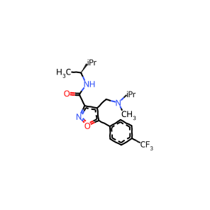 CC(C)[C@H](C)NC(=O)c1noc(-c2ccc(C(F)(F)F)cc2)c1CN(C)C(C)C